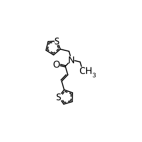 CCN(Cc1cccs1)C(=O)C=Cc1cccs1